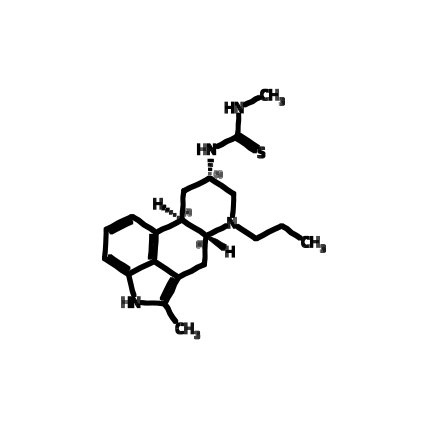 CCCN1C[C@@H](NC(=S)NC)C[C@@H]2c3cccc4[nH]c(C)c(c34)C[C@H]21